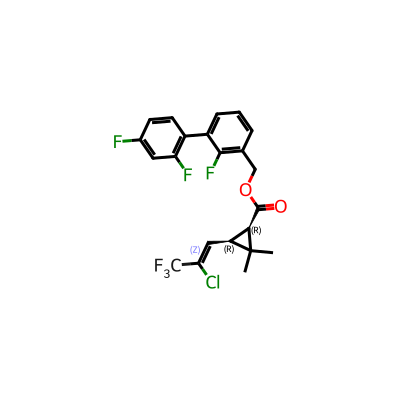 CC1(C)[C@H](C(=O)OCc2cccc(-c3ccc(F)cc3F)c2F)[C@@H]1/C=C(\Cl)C(F)(F)F